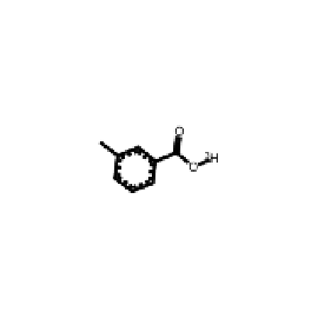 [3H]OC(=O)c1cccc(C)c1